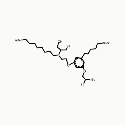 CCCCCCCCCCCCCCCCCCN(CCOc1cc(CCCCCCCCCCCCCCC)cc(OCC(CC)CCCC)c1)C(CO)CO